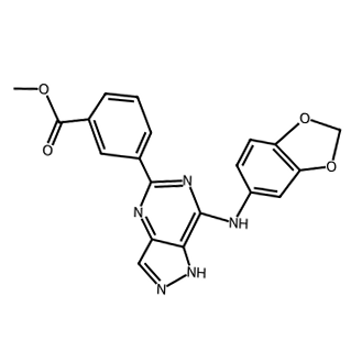 COC(=O)c1cccc(-c2nc(Nc3ccc4c(c3)OCO4)c3[nH]ncc3n2)c1